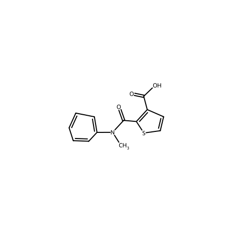 CN(C(=O)c1sccc1C(=O)O)c1ccccc1